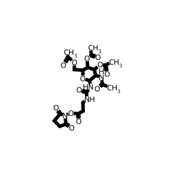 CC(=O)NC1C(NC(=O)NCCC(=O)ON2C(=O)CCC2=O)OC(COC(C)=O)C(OC(C)=O)C1OC(C)=O